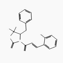 [2H]C1([2H])OC(=O)N(C(=O)C=Cc2ccccc2C(F)(F)F)C1Cc1ccccc1